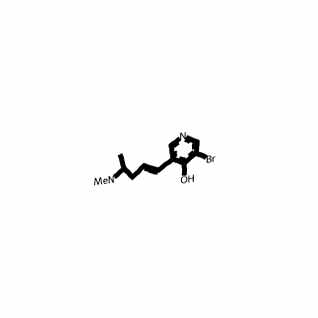 CNC(C)C/C=C/c1cncc(Br)c1O